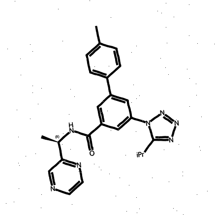 Cc1ccc(-c2cc(C(=O)N[C@H](C)c3cnccn3)cc(-n3nnnc3C(C)C)c2)cc1